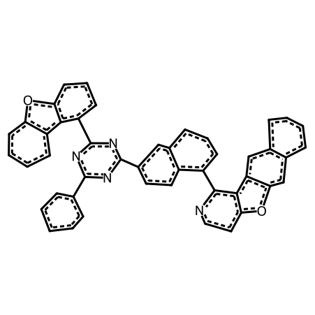 c1ccc(-c2nc(-c3ccc4c(-c5nccc6oc7cc8ccccc8cc7c56)cccc4c3)nc(-c3cccc4oc5ccccc5c34)n2)cc1